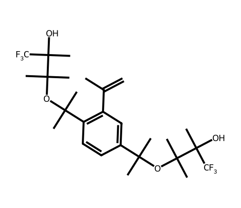 C=C(C)c1cc(C(C)(C)OC(C)(C)C(C)(O)C(F)(F)F)ccc1C(C)(C)OC(C)(C)C(C)(O)C(F)(F)F